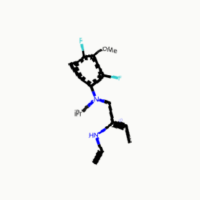 C=CN/C(=C\C)CN(c1ccc(F)c(OC)c1F)C(C)C